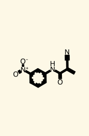 C=C(C#N)C(=O)Nc1cccc([N+](=O)[O-])c1